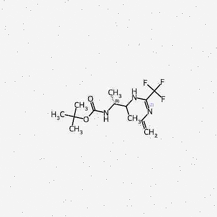 C=C/N=C(\NC(C)[C@@H](C)NC(=O)OC(C)(C)C)C(F)(F)F